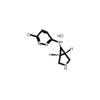 Cl.Clc1ccc(N[C@@H]2[C@@H]3CNC[C@@H]32)nn1